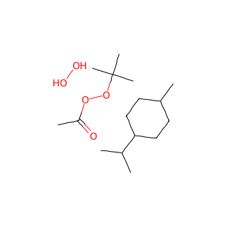 CC(=O)OOC(C)(C)C.CC1CCC(C(C)C)CC1.OO